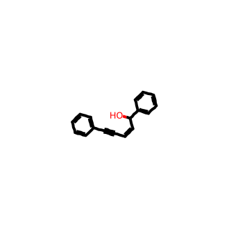 OC(/C=C\C#Cc1ccccc1)c1ccccc1